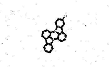 Clc1ccc2c(c1)c1cccc3c1n2c1cccc2c4ccccc4n3c21